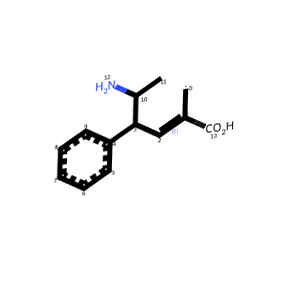 [CH2]/C(=C\C(c1ccccc1)C(C)N)C(=O)O